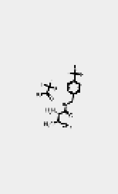 CC(C)[C@H](N)C(=O)NCc1ccc(C(F)(F)F)cc1.O=C(O)C(F)(F)F